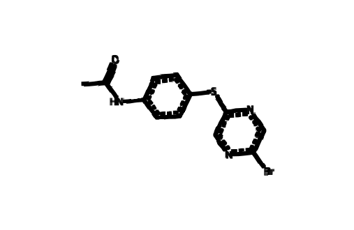 CC(=O)Nc1ccc(Sc2cnc(Br)cn2)cc1